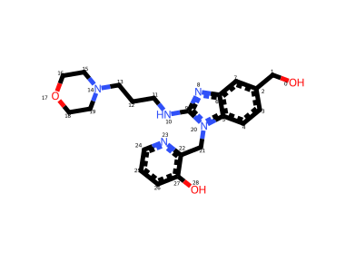 OCc1ccc2c(c1)nc(NCCCN1CCOCC1)n2Cc1ncccc1O